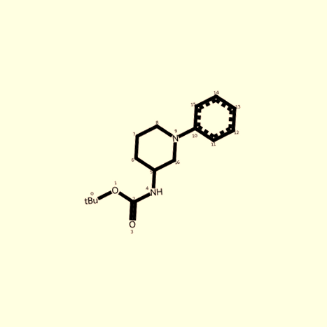 CC(C)(C)OC(=O)NC1CCCN(c2ccccc2)C1